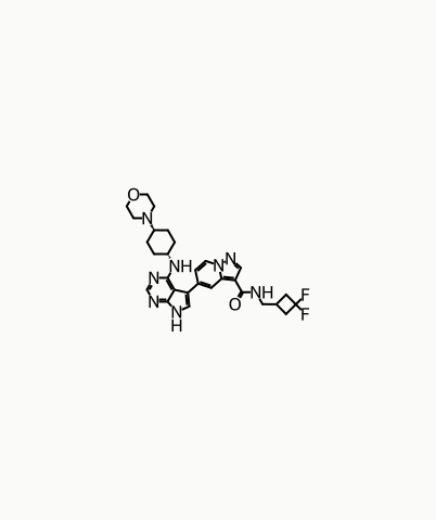 O=C(NCC1CC(F)(F)C1)c1cnn2ccc(-c3c[nH]c4ncnc(N[C@H]5CC[C@H](N6CCOCC6)CC5)c34)cc12